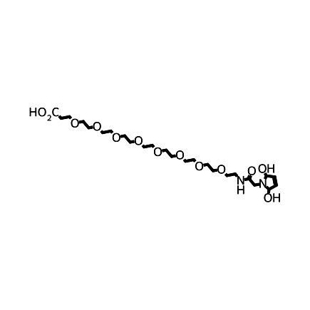 O=C(O)CCOCCOCCOCCOCCOCCOCCOCCOCCNC(=O)CN1C(O)C=CC1O